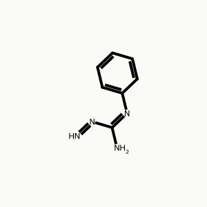 N=NC(N)=Nc1ccccc1